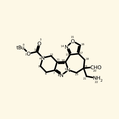 CC(C)(C)OC(=O)N1CCc2nn3c(c2C1)-c1nocc1CC(C=O)(CN)C3